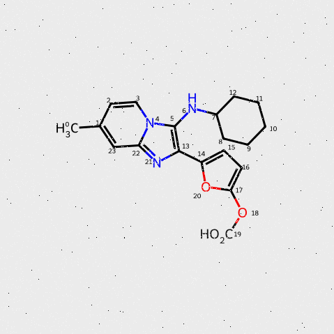 Cc1ccn2c(NC3CCCCC3)c(-c3ccc(OC(=O)O)o3)nc2c1